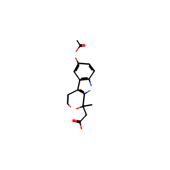 CC(=O)Oc1ccc2[nH]c3c(c2c1)CCOC3(C)CC(=O)O